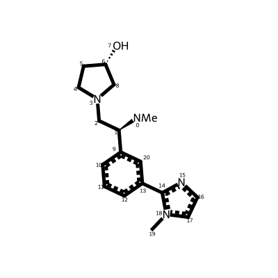 CN[C@H](CN1CC[C@H](O)C1)c1cccc(-c2nccn2C)c1